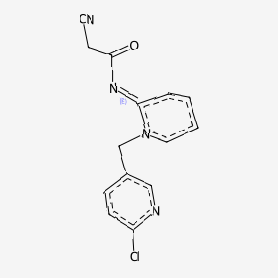 N#CCC(=O)/N=c1\ccccn1Cc1ccc(Cl)nc1